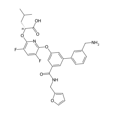 CC(C)C[C@@H](Oc1nc(Oc2cc(C(=O)NCc3ccco3)cc(-c3cccc(CN)c3)c2)c(F)cc1F)C(=O)O